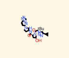 CC(C)(C)[C@@H](C(=O)N1C[C@H](O)C[C@H]1C(=O)NC1CCN(c2ccc3nncn3n2)C1)n1cc(C2CC2)nn1